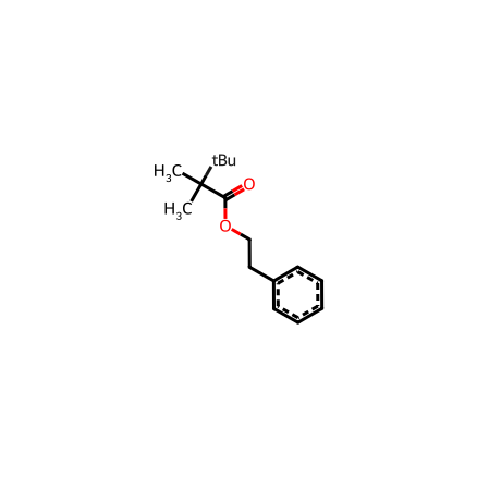 CC(C)(C)C(C)(C)C(=O)OCCc1ccccc1